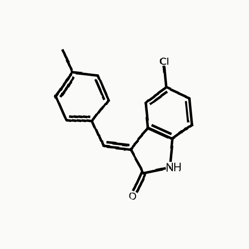 Cc1ccc(/C=C2/C(=O)Nc3ccc(Cl)cc32)cc1